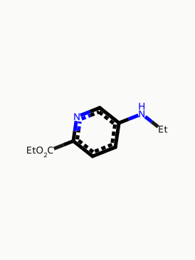 CCNc1ccc(C(=O)OCC)nc1